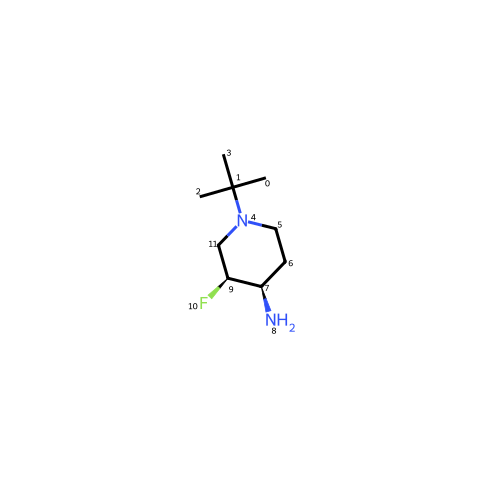 CC(C)(C)N1CC[C@@H](N)[C@@H](F)C1